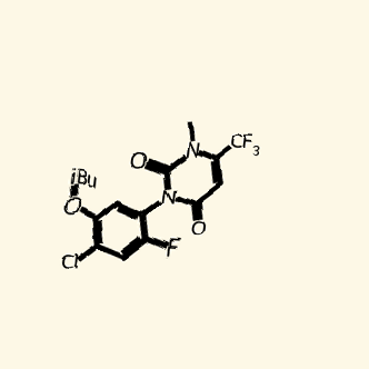 CCC(C)Oc1cc(-n2c(=O)cc(C(F)(F)F)n(C)c2=O)c(F)cc1Cl